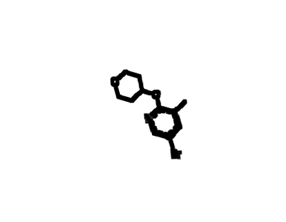 Cc1cc(Br)cnc1OC1CCOCC1